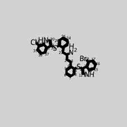 NC(CCc1ccccc1Sc1c[nH]c2cccc(Br)c12)Cc1ccccc1Sc1c[nH]c2c(Cl)cccc12